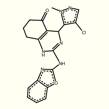 Cn1ncc(Cl)c1C1N=C(Nc2nc3ccccc3o2)NC2=C1C(=O)CCC2